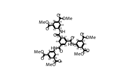 COC(=O)c1cc(NC(=O)c2cc(C(=O)Nc3cc(C(=O)OC)cc(C(=O)OC)c3)cc(C(=O)Nc3cc(C(=O)OC)cc(C(=O)OC)c3)c2)cc(C(=O)OC)c1